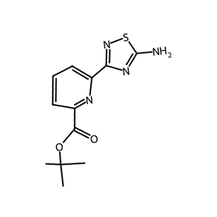 CC(C)(C)OC(=O)c1cccc(-c2nsc(N)n2)n1